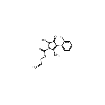 C=CCSC(=O)n1c(N)c(-c2ccccc2Cl)c(=O)n1C(C)CC